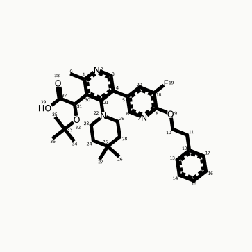 Cc1ncc(-c2cnc(OCCc3ccccc3)c(F)c2)c(N2CCC(C)(C)CC2)c1C(OC(C)(C)C)C(=O)O